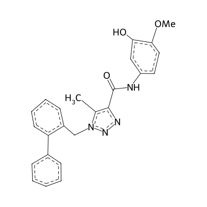 COc1ccc(NC(=O)c2nnn(Cc3ccccc3-c3ccccc3)c2C)cc1O